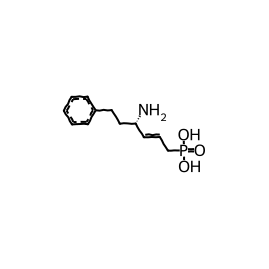 N[C@H](/C=C/CP(=O)(O)O)CCc1ccccc1